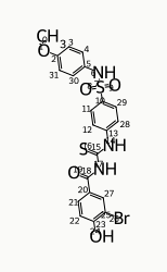 COc1ccc(NS(=O)(=O)c2ccc(NC(=S)NC(=O)c3ccc(O)c(Br)c3)cc2)cc1